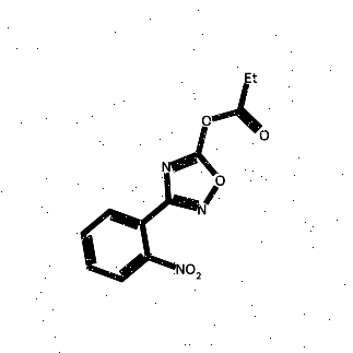 CCC(=O)Oc1nc(-c2ccccc2[N+](=O)[O-])no1